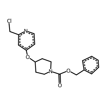 O=C(OCc1ccccc1)N1CCC(Oc2ccnc(CCl)c2)CC1